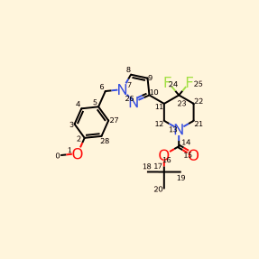 COc1ccc(Cn2ccc(C3CN(C(=O)OC(C)(C)C)CCC3(F)F)n2)cc1